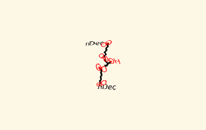 CCCCCCCCCCOC(=O)CCCCCC(=O)OCCC(CO)COC(=O)CCCCCC(=O)OCCCCCCCCCC